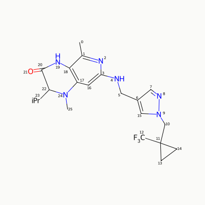 Cc1nc(NCc2cnn(CC3(C(F)(F)F)CC3)c2)cc2c1NC(=O)C(C(C)C)N2C